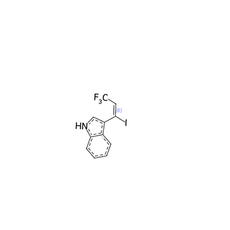 FC(F)(F)/C=C(/I)c1c[nH]c2ccccc12